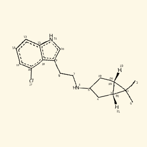 CC1(C)[C@@H]2CC(NCCc3c[nH]c4cccc(Cl)c34)C[C@@H]21